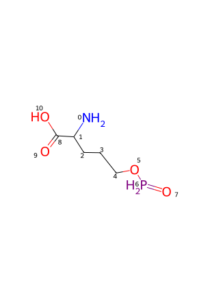 NC(CCCO[PH2]=O)C(=O)O